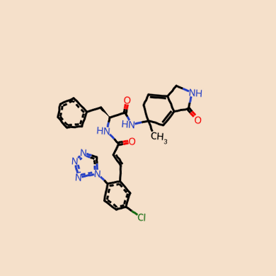 CC1(NC(=O)[C@H](Cc2ccccc2)NC(=O)/C=C/c2cc(Cl)ccc2-n2cnnn2)C=C2C(=O)NCC2=CC1